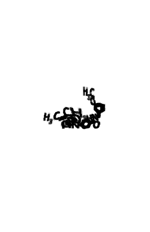 CCOc1cccc(CNC(=O)C2CCC(NS(=O)(=O)C(C)CC)CC2)c1